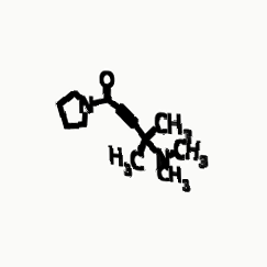 CN(C)C(C)(C)C#CC(=O)N1CCCC1